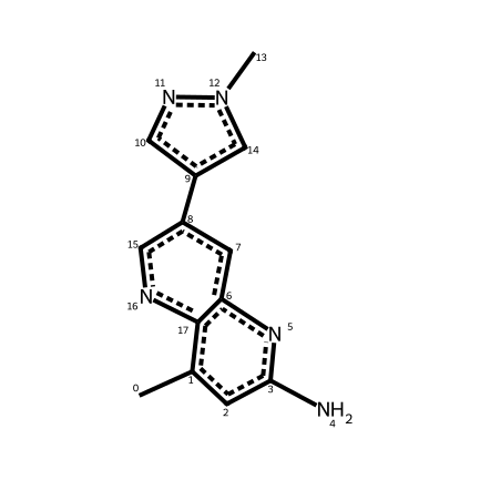 Cc1cc(N)nc2cc(-c3cnn(C)c3)cnc12